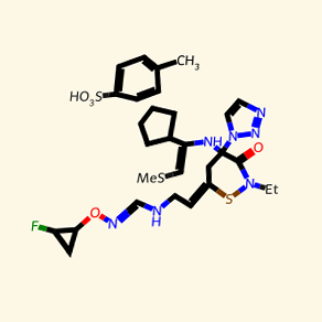 CCN1SC(=CCNC=NOC2CC2F)CC(NC(=CSC)C2CCCC2)(n2ccnn2)C1=O.Cc1ccc(S(=O)(=O)O)cc1